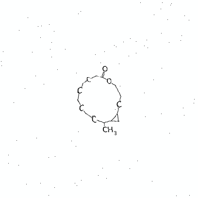 CC1CCCCCCCCC(=O)OCCCC2CC12